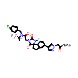 CNC(=O)Cn1cc(-c2ccc3c(c2)CCC32C(=O)N(CC(=O)N(Cc3ccc(F)cc3)[C@@H](C)C(F)(F)F)C(=O)N2F)cn1